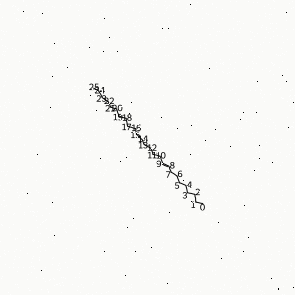 CCCCCCCCC=CCCCCCCCCCCCCCCCC